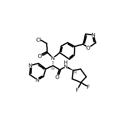 O=C(N[C@H]1CCC(F)(F)C1)[C@H](c1cncnc1)N(C(=O)CCl)c1ccc(-c2cnco2)cc1